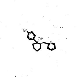 O[C@]1(c2ccc(Br)cc2)CCCC[C@@H]1Cc1ccccn1